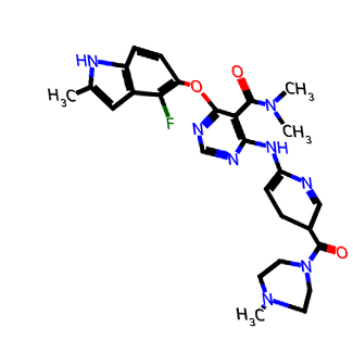 Cc1cc2c(F)c(Oc3ncnc(NC4=CCC(C(=O)N5CCN(C)CC5)C=N4)c3C(=O)N(C)C)ccc2[nH]1